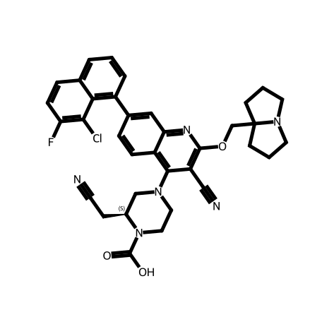 N#CC[C@H]1CN(c2c(C#N)c(OCC34CCCN3CCC4)nc3cc(-c4cccc5ccc(F)c(Cl)c45)ccc23)CCN1C(=O)O